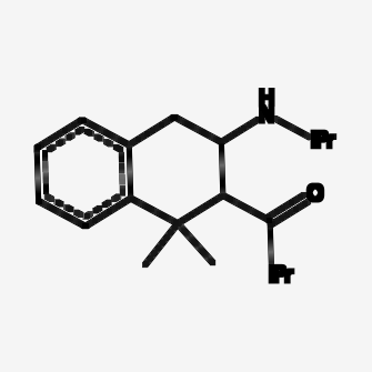 CC(C)NC1Cc2ccccc2C(C)(C)C1C(=O)C(C)C